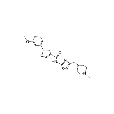 COc1cccc(-c2cc(C(=O)Nc3nc(CN4CCN(C)CC4)ns3)c(C)o2)c1